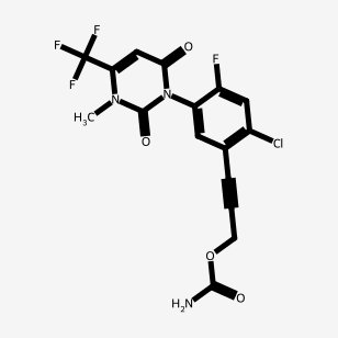 Cn1c(C(F)(F)F)cc(=O)n(-c2cc(C#CCOC(N)=O)c(Cl)cc2F)c1=O